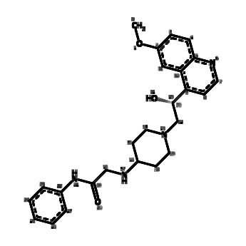 COc1ccc2nccc([C@@H](O)CN3CCC(NCC(=O)Nc4ccccc4)CC3)c2c1